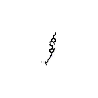 C=CCc1ccc2nc(-c3ccc(/C=C/CCCC(C)O)cc3F)cnc2c1